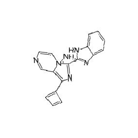 N[N+]12C=CN=CC1=C(C1=CC=C1)N=C2c1nc2ccccc2[nH]1